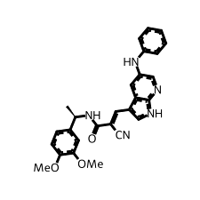 COc1ccc([C@@H](C)NC(=O)/C(C#N)=C/c2c[nH]c3ncc(Nc4ccccc4)cc23)cc1OC